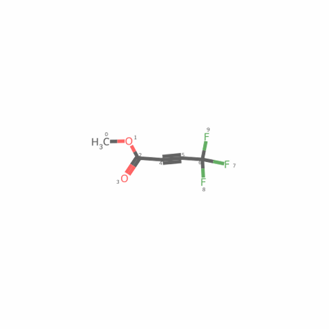 COC(=O)C#CC(F)(F)F